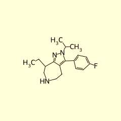 CCC1CNCCc2c1nn(C(C)C)c2-c1ccc(F)cc1